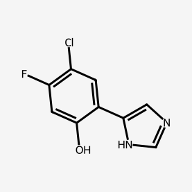 Oc1cc(F)c(Cl)cc1-c1cnc[nH]1